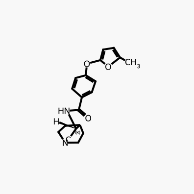 Cc1ccc(Oc2ccc(C(=O)N[C@H]3CN4CCC3CC4)cc2)o1